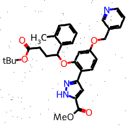 COC(=O)c1cc(-c2ccc(OCc3cccnc3)cc2OC(CCC(=O)OC(C)(C)C)c2ccccc2C)n[nH]1